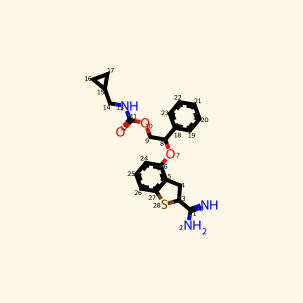 N=C(N)C1Cc2c(OC(COC(=O)NCC3CC3)c3ccccc3)cccc2S1